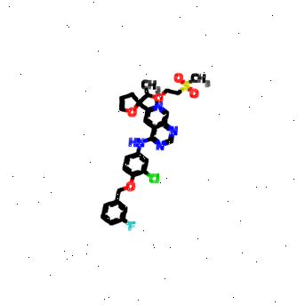 CC(OCCS(C)(=O)=O)C1(c2cc3c(Nc4ccc(OCc5cccc(F)c5)c(Cl)c4)ncnc3cn2)CC=CO1